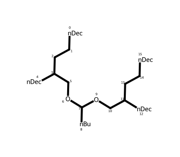 CCCCCCCCCCCCC(CCCCCCCCCC)COC(CCCC)OCC(CCCCCCCCCC)CCCCCCCCCCCC